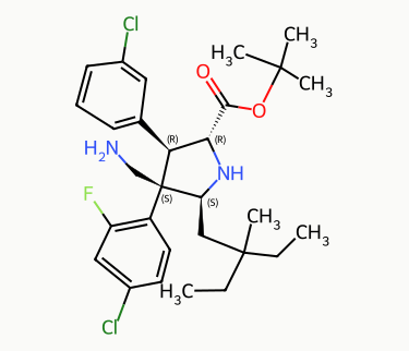 CCC(C)(CC)C[C@@H]1N[C@@H](C(=O)OC(C)(C)C)[C@H](c2cccc(Cl)c2)[C@@]1(CN)c1ccc(Cl)cc1F